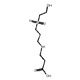 O=C(O)CCNCCCS(=O)(=O)CCO